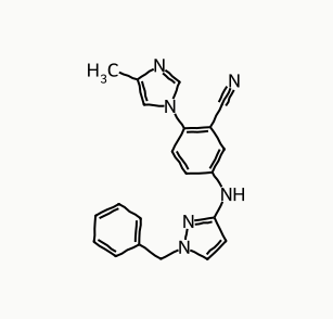 Cc1cn(-c2ccc(Nc3ccn(Cc4ccccc4)n3)cc2C#N)cn1